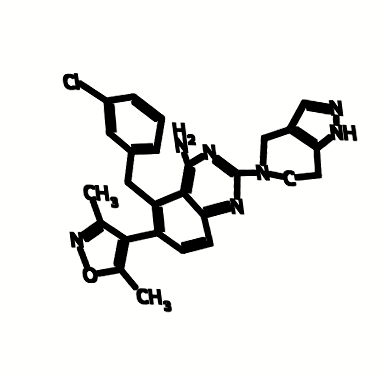 Cc1noc(C)c1-c1ccc2nc(N3CCc4[nH]ncc4C3)nc(N)c2c1Cc1cccc(Cl)c1